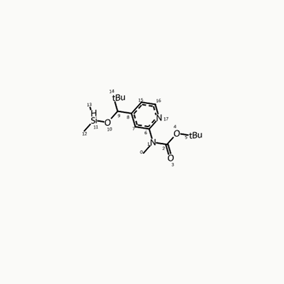 CN(C(=O)OC(C)(C)C)c1cc(C(O[SiH](C)C)C(C)(C)C)ccn1